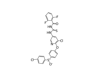 O=C(NC(=S)Nc1cnc(Oc2ccc([S+]([O-])c3ccc(Cl)cc3)cc2)c(Cl)c1)c1c(F)cccc1F